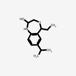 CCC1OCC(O)Nc2ccc(C(C)C)cc21